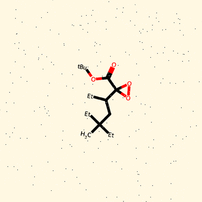 CCC(CC(C)(CC)CC)C1(C(=O)OC(C)(C)C)OO1